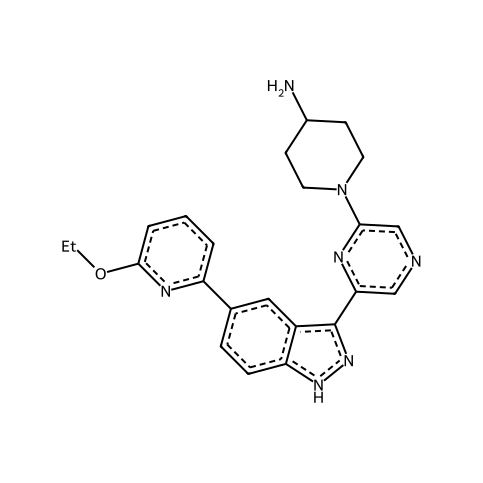 CCOc1cccc(-c2ccc3[nH]nc(-c4cncc(N5CCC(N)CC5)n4)c3c2)n1